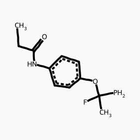 CCC(=O)Nc1ccc(OC(C)(F)P)cc1